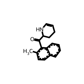 Cc1ccc2ccccc2c1C(=O)C1CCC=CN1